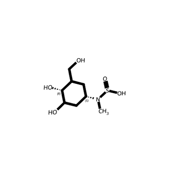 CN([C@@H]1CC(O)[C@H](O)C(CO)C1)S(=O)O